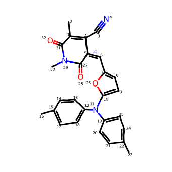 CC1=C(C#N)/C(=C/c2ccc(N(c3ccc(C)cc3)c3ccc(C)cc3)o2)C(=O)N(C)C1=O